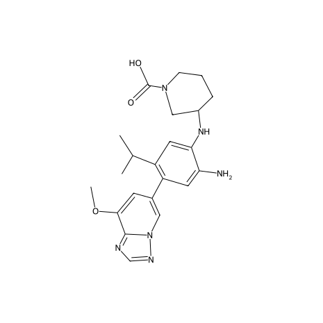 COc1cc(-c2cc(N)c(NC3CCCN(C(=O)O)C3)cc2C(C)C)cn2ncnc12